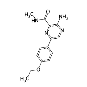 CCOc1ccc(-c2cnc(N)c(C(=O)NC)n2)cc1